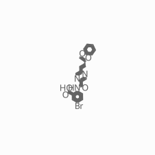 O=C(Nc1ccc(Br)cc1C(=O)O)c1cnc(C=C[C@H]2COC3(CCCCC3)O2)cn1